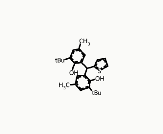 Cc1cc(C(c2cccs2)c2cc(C)cc(C(C)(C)C)c2O)c(O)c(C(C)(C)C)c1